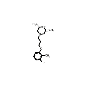 Cc1c(Br)cccc1OCCCN1C[C@@H](C)N[C@@H](C)C1